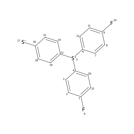 Fc1ccc([S+](c2ccc(F)cc2)c2ccc([S-])cc2)cc1